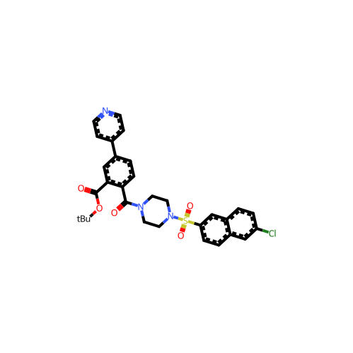 CC(C)(C)OC(=O)c1cc(-c2ccncc2)ccc1C(=O)N1CCN(S(=O)(=O)c2ccc3cc(Cl)ccc3c2)CC1